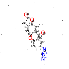 [N-]=[N+]=Nc1ccc2oc3cc4c(cc3c(=O)c2c1)OC(=O)C4